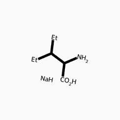 CCC(CC)C(N)C(=O)O.[NaH]